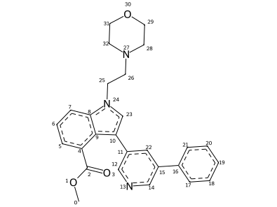 COC(=O)c1cccc2c1c(-c1cncc(-c3ccccc3)c1)cn2CCN1CCOCC1